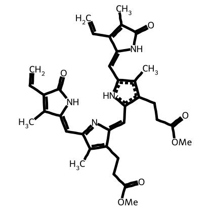 C=CC1=C(C)/C(=C/C2=NC(=C\c3[nH]c(/C=C4\NC(=O)C(C)=C4C=C)c(C)c3CCC(=O)OC)/C(CCC(=O)OC)=C2C)NC1=O